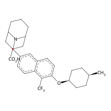 C[C@H]1CC[C@@H](Oc2ccc3cc(CN4C5CCCC4CC(C(=O)O)C5)ccc3c2C(F)(F)F)CC1